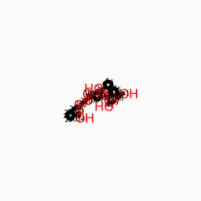 O=C(O)c1ccccc1.O=C(O)c1ccccc1.O=C(OCCOCCc1ccccc1C(=O)O)c1ccccc1.OCCOCCO